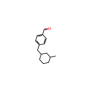 CC1CCCC(Cc2ccc(C=O)cc2)C1